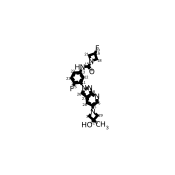 CC1(O)CN(c2cnc3nn(-c4cc(NC(=O)N5CC(F)C5)ccc4F)cc3c2)C1